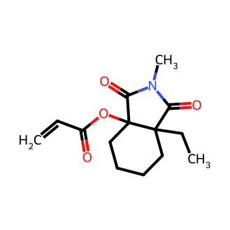 C=CC(=O)OC12CCCCC1(CC)C(=O)N(C)C2=O